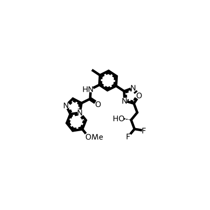 COc1ccc2ncc(C(=O)Nc3cc(-c4noc(C[C@@H](O)C(F)F)n4)ccc3C)n2c1